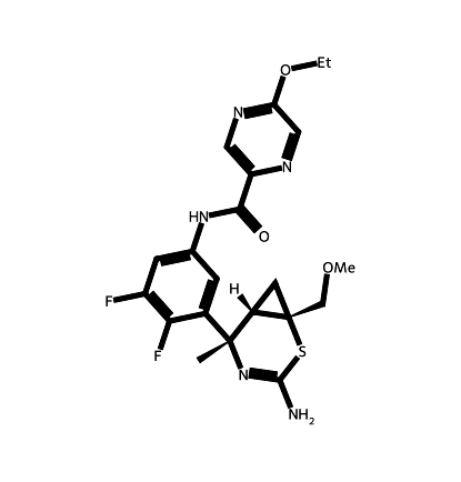 CCOc1cnc(C(=O)Nc2cc(F)c(F)c([C@@]3(C)N=C(N)S[C@@]4(COC)C[C@H]43)c2)cn1